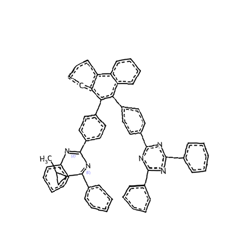 CC1CC1/C(=N\C(=N/c1ccccc1)c1ccc(-c2c(-c3ccc(-c4nc(-c5ccccc5)nc(-c5ccccc5)n4)cc3)c3ccccc3c3ccccc23)cc1)c1ccccc1